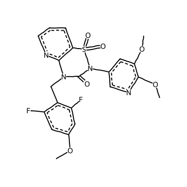 COc1cc(F)c(CN2C(=O)N(c3cnc(OC)c(OC)c3)S(=O)(=O)c3cccnc32)c(F)c1